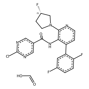 O=C(Nc1c(-c2cc(F)ccc2F)ccnc1N1CC[C@H](F)C1)c1cnc(Cl)nc1.O=CO